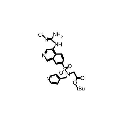 CC(C)(C)OC(=O)CN(Cc1ccncc1)S(=O)(=O)c1ccc2c(NC(N)=NCl)cncc2c1